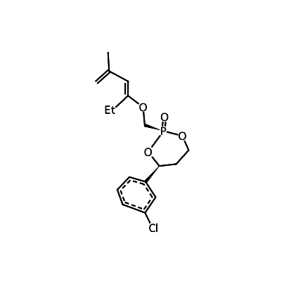 C=C(C)/C=C(\CC)OC[P@@]1(=O)OCC[C@@H](c2cccc(Cl)c2)O1